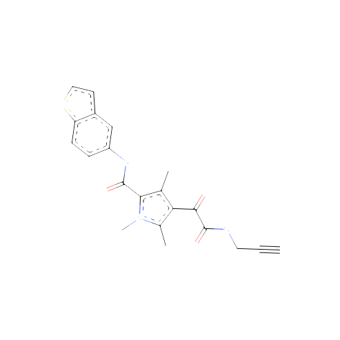 C#CCNC(=O)C(=O)c1c(C)c(C(=O)Nc2ccc3sccc3c2)n(C)c1C